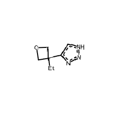 CCC1(c2c[nH]nn2)COC1